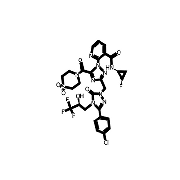 O=C(N[C@@H]1C[C@@H]1F)c1cccnc1-n1nc(Cn2nc(-c3ccc(Cl)cc3)n(C[C@H](O)C(F)(F)F)c2=O)nc1C(=O)N1CCS(=O)(=O)CC1